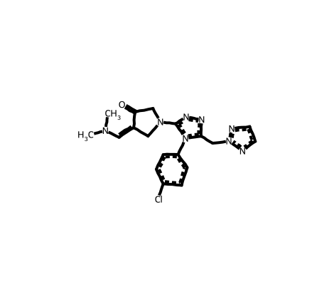 CN(C)C=C1CN(c2nnc(Cn3nccn3)n2-c2ccc(Cl)cc2)CC1=O